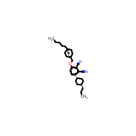 CCCCCC12CCC(COc3ccc([C@H]4CC[C@H](CCC)CC4)c(C#N)c3C#N)(CC1)CC2